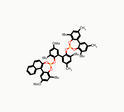 COc1cc(-c2cc(C)cc(C(C)(C)C)c2Op2oc3c(C(C)(C)C)cc(C)cc3c3cc(C)cc(C(C)(C)C)c3o2)c(Op2oc3ccc4ccccc4c3c3cc(OC)cc(C(C)(C)C)c3o2)c(C(C)(C)C)c1